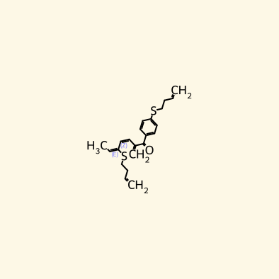 C=CCCSC(/C=C\C(=C)C(=O)c1ccc(SCCC=C)cc1)=C/C